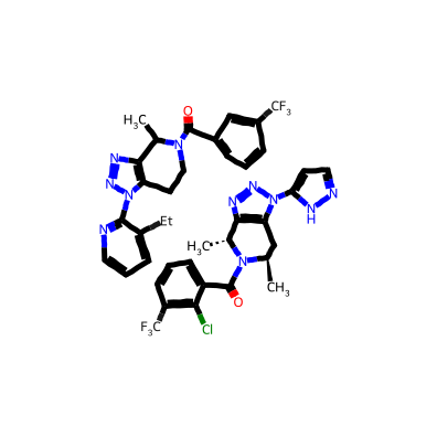 CCc1cccnc1-n1nnc2c1CCN(C(=O)c1cccc(C(F)(F)F)c1)C2C.C[C@@H]1Cc2c(nnn2-c2ccn[nH]2)[C@@H](C)N1C(=O)c1cccc(C(F)(F)F)c1Cl